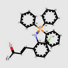 CCC(=O)/C=C/c1cccc(F)c1N=P(c1ccccc1)(c1ccccc1)c1ccccc1